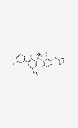 Cc1cc(-c2cccc(F)c2)c(F)c(N(C)c2c(F)ccc(OC3=NC=C3)c2F)c1